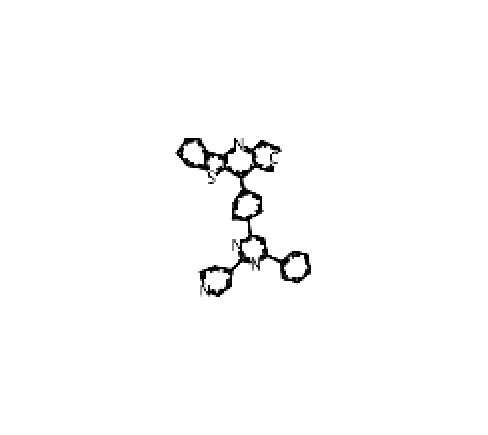 c1ccc(-c2cc(-c3ccc(-c4c5ccccc5nc5c4sc4ccccc45)cc3)nc(-c3ccncc3)n2)cc1